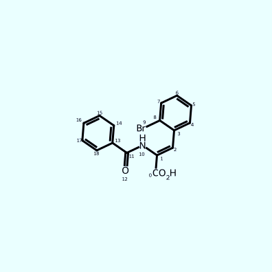 O=C(O)C(=Cc1ccccc1Br)NC(=O)c1ccccc1